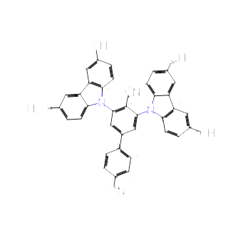 Cc1ccc2c(c1)c1cc(C)ccc1n2-c1cc(-c2ccc(C#N)cc2)cc(-n2c3ccc(C)cc3c3cc(C)ccc32)c1C#N